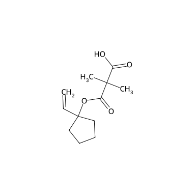 C=CC1(OC(=O)C(C)(C)C(=O)O)CCCC1